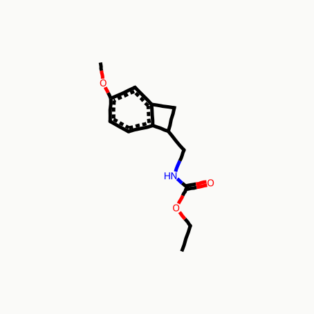 CCOC(=O)NCC1Cc2cc(OC)ccc21